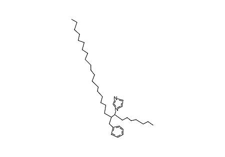 CCCCCCCCCCCCCCCCCCCC(Cc1ccccc1)C(CCCCCCC)n1ccnc1